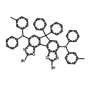 Cc1cccc(N(c2ccccc2)c2cc3c(c4oc(C(C)C)nc24)-c2c(cc(N(c4ccccc4)c4cccc(C)c4)c4nc(C(C)C)oc24)C3(c2ccccc2)c2ccccc2)c1